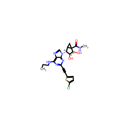 CCCNc1nc(C#Cc2ccc(Cl)s2)nc2c1ncn2[C@@H]1C2CC2(C(=O)NC)[C@@H](O)[C@H]1O